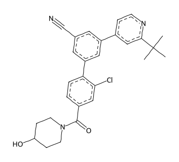 CC(C)(C)c1cc(-c2cc(C#N)cc(-c3ccc(C(=O)N4CCC(O)CC4)cc3Cl)c2)ccn1